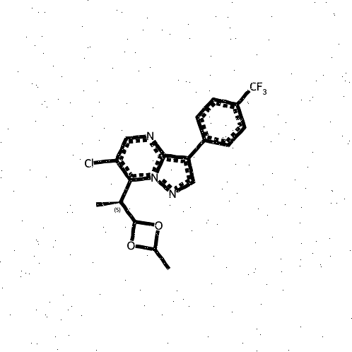 CC1OC([C@@H](C)c2c(Cl)cnc3c(-c4ccc(C(F)(F)F)cc4)cnn23)O1